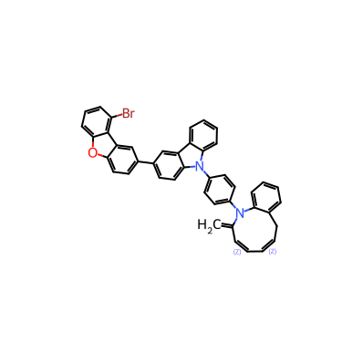 C=C1/C=C\C=C/Cc2ccccc2N1c1ccc(-n2c3ccccc3c3cc(-c4ccc5oc6cccc(Br)c6c5c4)ccc32)cc1